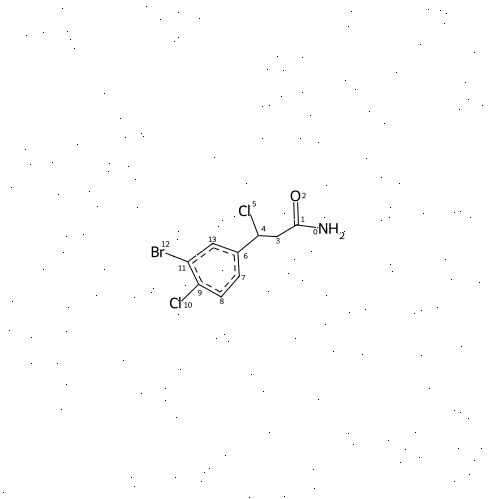 NC(=O)CC(Cl)c1ccc(Cl)c(Br)c1